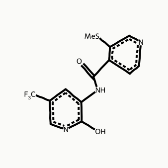 CSc1cnccc1C(=O)Nc1cc(C(F)(F)F)cnc1O